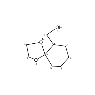 OCC1CCCCC12OCCO2